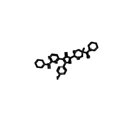 CC1(C(=O)N2CCCCC2)COC(c2nc(-c3ccc(F)cc3)c(-c3ccnc(NC4CCCCC4)n3)[nH]2)OC1